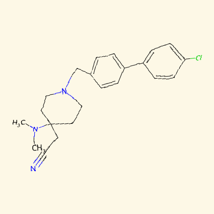 CN(C)C1(CC#N)CCN(Cc2ccc(-c3ccc(Cl)cc3)cc2)CC1